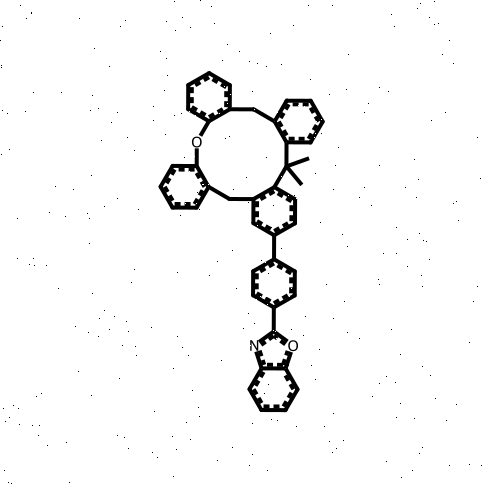 CC1(C)c2ccccc2Cc2ccccc2Oc2ccccc2Cc2cc(-c3ccc(-c4nc5ccccc5o4)cc3)ccc21